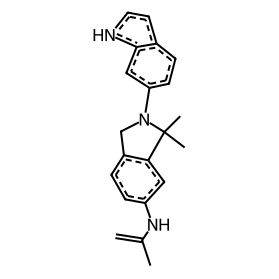 C=C(C)Nc1ccc2c(c1)C(C)(C)N(c1ccc3cc[nH]c3c1)C2